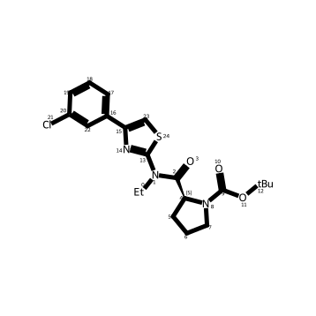 CCN(C(=O)[C@@H]1CCCN1C(=O)OC(C)(C)C)c1nc(-c2cccc(Cl)c2)cs1